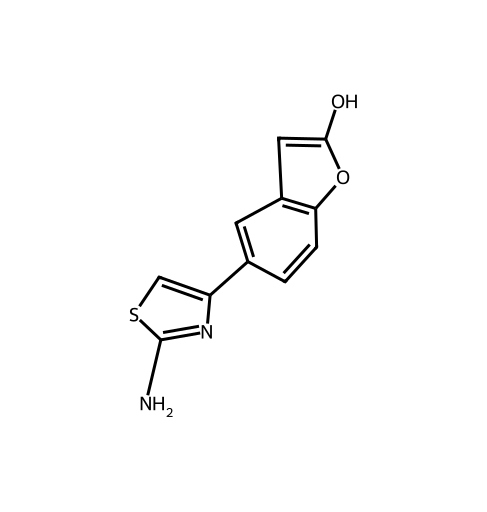 Nc1nc(-c2ccc3oc(O)cc3c2)cs1